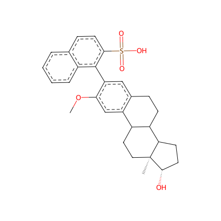 COc1cc2c(cc1-c1c(S(=O)(=O)O)ccc3ccccc13)CCC1C2CC[C@@]2(C)C1CC[C@@H]2O